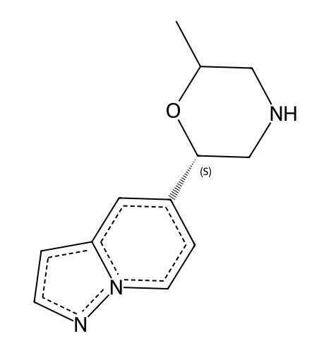 CC1CNC[C@H](c2ccn3nccc3c2)O1